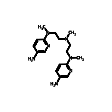 CN(CCN(C)c1ccc(N)cn1)CCN(C)c1ccc(N)cn1